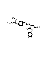 CCOC(Cc1ccc(OCCN(CCC(C)C)C(=O)Nc2ccc(F)cc2)cc1)C(=O)O